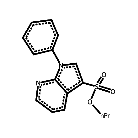 CCCOS(=O)(=O)c1cn(-c2ccccc2)c2ncccc12